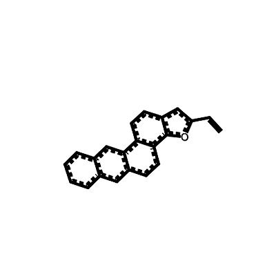 C=Cc1cc2ccc3c4cc5ccccc5cc4ccc3c2o1